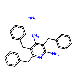 N.Nc1nc(Cc2ccccc2)c(Cc2ccccc2)c(N)c1Cc1ccccc1